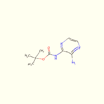 CC(C)(C)OC(=O)Nc1nccnc1N